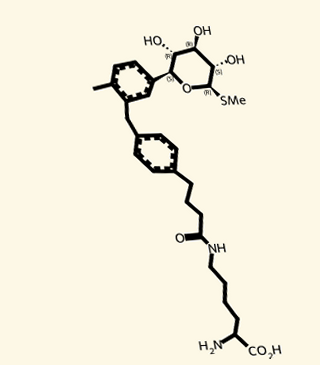 CS[C@H]1O[C@@H](c2ccc(C)c(Cc3ccc(CCCC(=O)NCCCCC(N)C(=O)O)cc3)c2)[C@H](O)[C@@H](O)[C@@H]1O